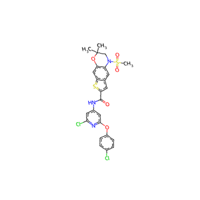 CC1(C)CN(S(C)(=O)=O)c2cc3cc(C(=O)Nc4cc(Cl)nc(Oc5ccc(Cl)cc5)c4)sc3cc2O1